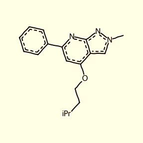 CC(C)CCOc1cc(-c2ccccc2)nc2nn(C)cc12